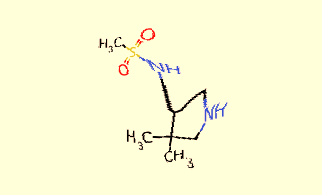 CC1(C)CNCC1CNS(C)(=O)=O